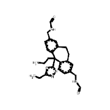 CCc1nnc(C2(CCN)c3ccc(CNC=O)cc3CCc3cc(CNC=O)ccc32)o1